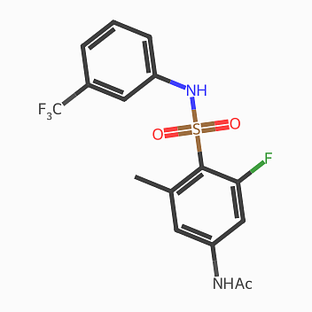 CC(=O)Nc1cc(C)c(S(=O)(=O)Nc2cccc(C(F)(F)F)c2)c(F)c1